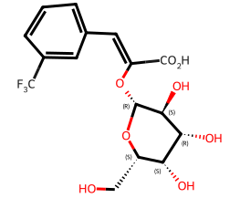 O=C(O)C(=Cc1cccc(C(F)(F)F)c1)O[C@H]1O[C@@H](CO)[C@@H](O)[C@@H](O)[C@@H]1O